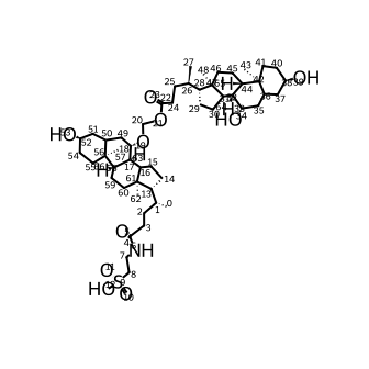 C[C@H](CCC(=O)NCCS(=O)(=O)O)[C@H]1CCC2[C@@H]3[C@@H](OCOC(=O)CC[C@@H](C)[C@H]4CCC5[C@H]6[C@@H](O)CC7C[C@H](O)CC[C@]7(C)[C@H]6CC[C@@]54C)CC4C[C@H](O)CC[C@]4(C)[C@H]3CC[C@@]21C